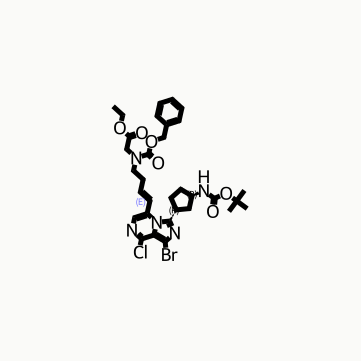 CCOC(=O)CN(CC/C=C/c1cnc(Cl)c2c(Br)nc([C@@H]3CC[C@@H](NC(=O)OC(C)(C)C)C3)n12)C(=O)OCc1ccccc1